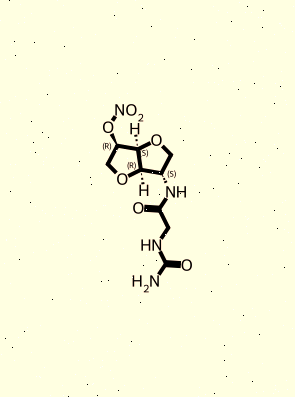 NC(=O)NCC(=O)N[C@H]1CO[C@H]2[C@@H]1OC[C@H]2O[N+](=O)[O-]